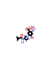 Nc1cc(Br)c(N2CCC(NC(=O)C3CC3)C2)cc1C(=O)O